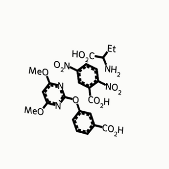 CCC(N)C(=O)O.COc1cc(OC)nc(Oc2cccc(C(=O)O)c2)n1.O=C(O)c1cc([N+](=O)[O-])ccc1[N+](=O)[O-]